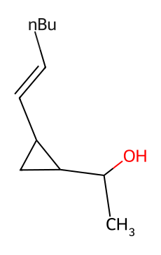 CCCCC=CC1CC1C(C)O